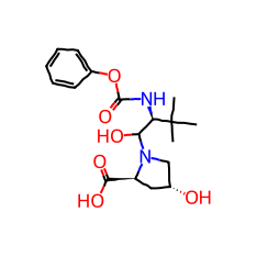 CC(C)(C)[C@H](NC(=O)Oc1ccccc1)C(O)N1C[C@H](O)C[C@H]1C(=O)O